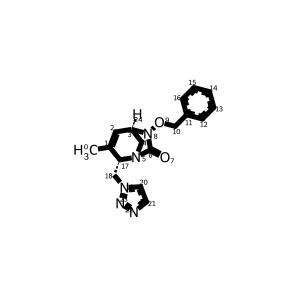 CC1=C[C@@H]2CN(C(=O)N2OCc2ccccc2)[C@@H]1Cn1ccnn1